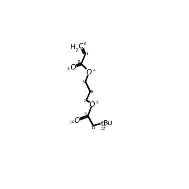 C=CC(=O)OCCCOC(=O)CC(C)(C)C